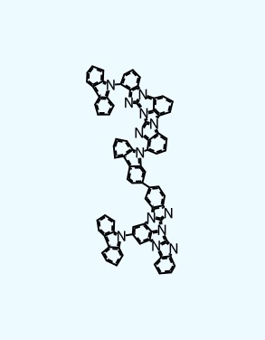 c1ccc2c(c1)nc1n2c2cc(-n3c4ccccc4c4ccccc43)cc3c2n1c1nc2ccc(-c4ccc5c6ccccc6n(-c6cccc7c6nc6n7c7cccc8c7n6c6nc7c(-n9c%10ccccc%10c%10ccccc%109)cccc7n86)c5c4)cc2n31